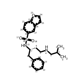 CC(C)CNCC[C@H](Cc1ccccc1)NS(=O)(=O)c1ccc2occc2c1